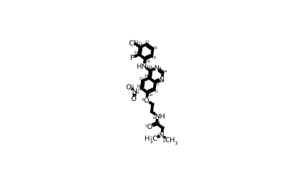 CN(C)CC(=O)NCCOc1cc2ncnc(Nc3cccc(Cl)c3F)c2cc1[N+](=O)[O-]